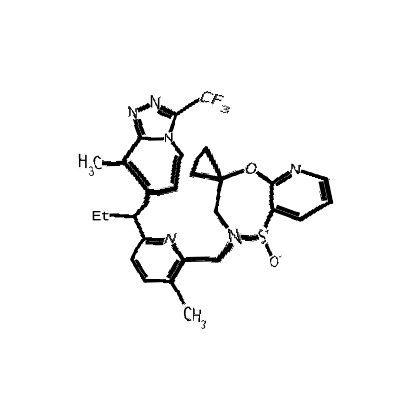 CCC(c1ccc(C)c(CN2CC3(CC3)Oc3ncccc3[S+]2[O-])n1)c1ccn2c(C(F)(F)F)nnc2c1C